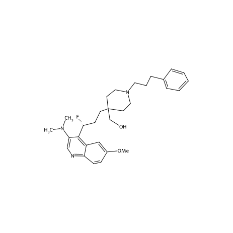 COc1ccc2ncc(N(C)C)c([C@H](F)CCC3(CO)CCN(CCCc4ccccc4)CC3)c2c1